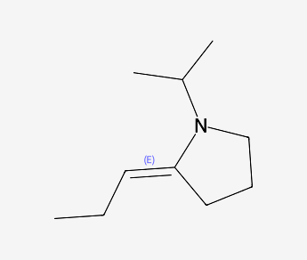 CC/C=C1\CCCN1C(C)C